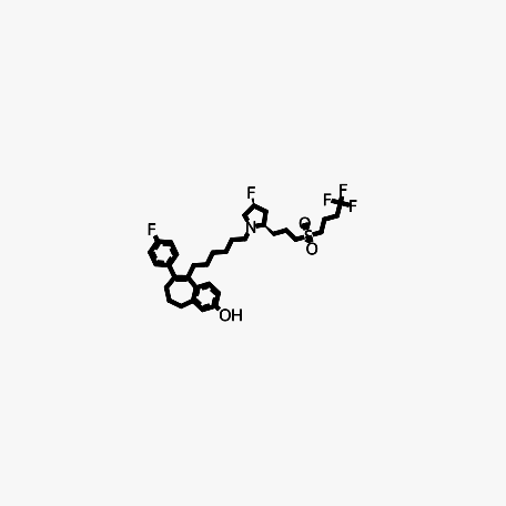 O=S(=O)(CCC[C@@H]1C[C@@H](F)CN1CCCCCCC1=C(c2ccc(F)cc2)CCCc2cc(O)ccc21)CCCC(F)(F)F